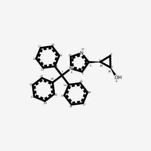 O[C@@H]1C[C@@H]1c1cn(C(c2ccccc2)(c2ccccc2)c2ccccc2)cn1